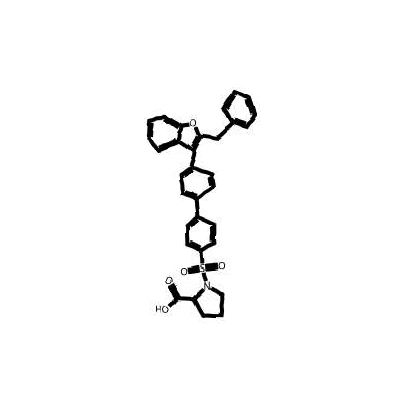 O=C(O)C1CCCN1S(=O)(=O)c1ccc(-c2ccc(-c3c(Cc4ccccc4)oc4ccccc34)cc2)cc1